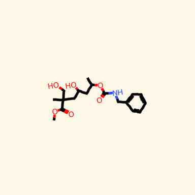 COC(=O)C(C)(CO)CC(O)CC(C)OC(=O)NCc1ccccc1